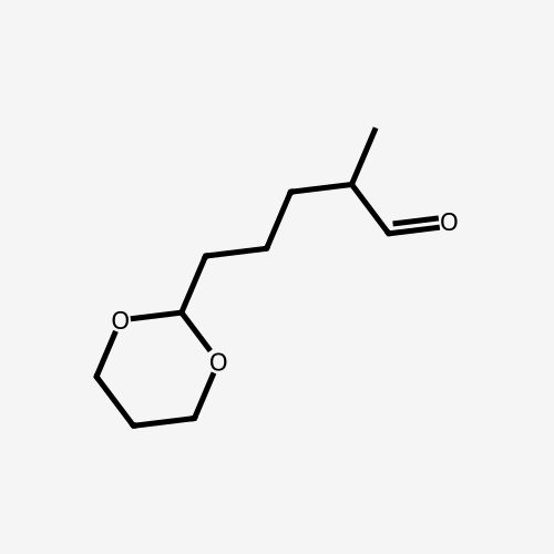 CC(C=O)CCCC1OCCCO1